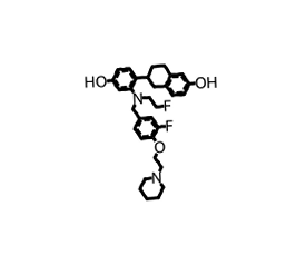 Oc1ccc2c(c1)CCC(c1ccc(O)cc1N(CCF)Cc1ccc(OCCN3CCCCC3)c(F)c1)C2